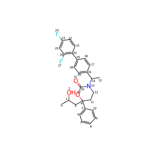 CC(O)CC1(c2ccccc2)CCN(C(C)c2ccc(-c3ccc(F)cc3F)cc2)C(=O)O1